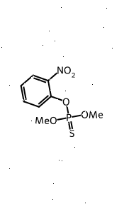 COP(=S)(OC)Oc1ccccc1[N+](=O)[O-]